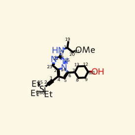 CC[Si](C#Cc1cc(C2CCC(O)CC2)n2nc(NC(C)COC)ncc12)(CC)CC